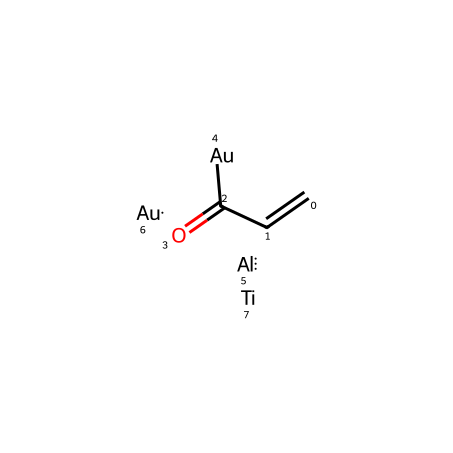 C=C[C](=O)[Au].[Al].[Au].[Ti]